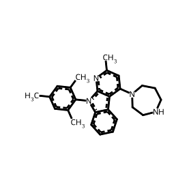 Cc1cc(C)c(-n2c3ccccc3c3c(N4CCCNCC4)cc(C)nc32)c(C)c1